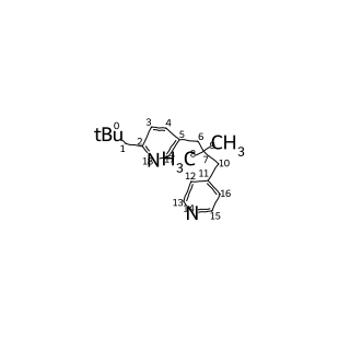 CC(C)(C)Cc1ccc(CC(C)(C)Cc2ccncc2)cn1